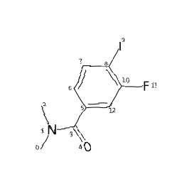 CN(C)C(=O)c1ccc(I)c(F)c1